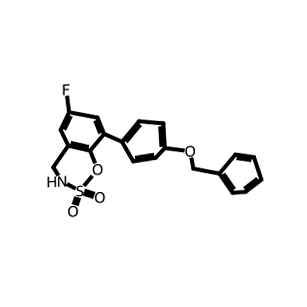 O=S1(=O)NCc2cc(F)cc(-c3ccc(OCc4ccccc4)cc3)c2O1